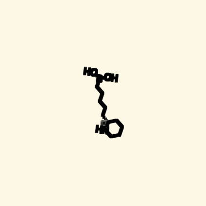 OB(O)CCCCC[C@@H]1CCCCN1